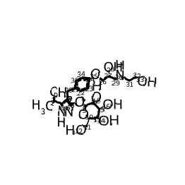 CC(C)c1[nH]nc(O[C@@H]2O[C@H](CO)[C@@H](O)[C@H](O)[C@H]2O)c1Cc1ccc(OC[C@H](O)CNCCO)cc1